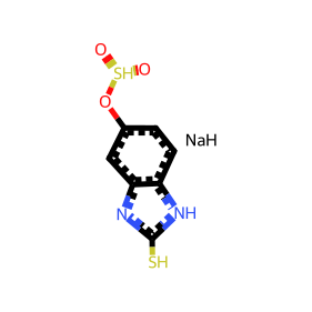 O=[SH](=O)Oc1ccc2[nH]c(S)nc2c1.[NaH]